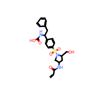 C=CC(=O)NC1CC(CO)N(S(=O)(=O)c2ccc(C(Cc3ccccc3)NC(=O)O)cc2)C1